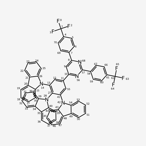 FC(F)(F)c1ccc(-c2cc(-c3cc(-n4c5ccccc5c5ccccc54)c(-n4c5ccccc5c5ccccc54)c(-n4c5ccccc5c5ccccc54)c3)nc(-c3ccc(C(F)(F)F)cc3)n2)cc1